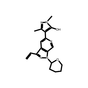 C=Cc1nn(C2CCCCO2)c2cnc(-c3c(C)nn(C)c3O)cc12